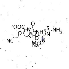 CO/N=C(\C(=O)N[C@@H]1C(=O)N2C(C(=O)[O-])=C(OCCC#N)CS[C@@H]12)c1csc(N)n1.[Na+]